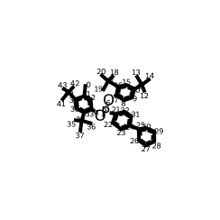 Cc1cc(OP(Oc2ccc(C(C)(C)C)cc2C(C)(C)C)c2ccc(-c3ccccc3)cc2)c(C(C)(C)C)cc1C(C)(C)C